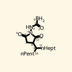 BC(=O)NN1C(=O)CC(C(CCCCC)CCCCCCC)C1=O